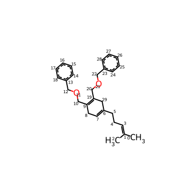 CC(C)=CCCC1=CCC(COCc2ccccc2)=C(COCc2ccccc2)C1